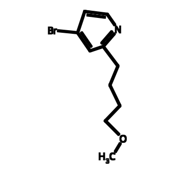 COCCCCc1cc(Br)ccn1